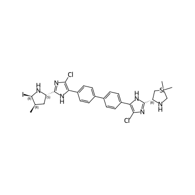 C[C@@H]1C[C@@H](c2nc(Cl)c(-c3ccc(-c4ccc(-c5[nH]c([C@@H]6C[Si](C)(C)CN6)nc5Cl)cc4)cc3)[nH]2)N[C@@H]1I